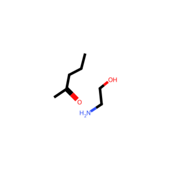 CCCC(C)=O.NCCO